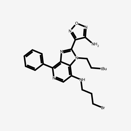 CC(C)(C)CCn1c(-c2nonc2N)nc2c(-c3ccccc3)ncc(NCCCBr)c21